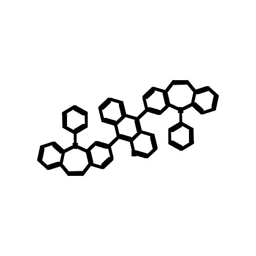 C1=Cc2ccc(-c3c4ccccc4c(-c4ccc5c(c4)N(c4ccccc4)c4ccccc4C=C5)c4ncccc34)cc2N(c2ccccc2)c2ccccc21